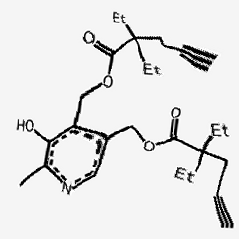 C#CCC(CC)(CC)C(=O)OCc1cnc(C)c(O)c1COC(=O)C(CC)(CC)CC#C